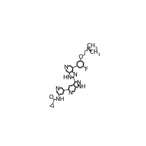 CN(C)CCOc1cc(F)cc(-c2cncc3[nH]c(-c4n[nH]c5cnc(-c6cncc(NC(=O)C7CC7)c6)cc45)nc23)c1